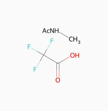 CNC(C)=O.O=C(O)C(F)(F)F